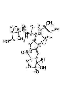 CCC1(O)C(=O)OCc2c1cc1n(c2=O)Cc2c-1nc1cc(F)c(C)c3c1c2C(NC(=O)C(C)(C)CCO)CC3